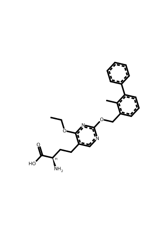 CCOc1nc(OCc2cccc(-c3ccccc3)c2C)ncc1CC[C@@H](N)C(=O)O